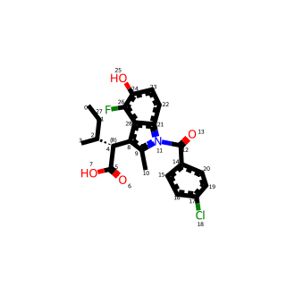 CCC(C)[C@@H](C(=O)O)c1c(C)n(C(=O)c2ccc(Cl)cc2)c2ccc(O)c(F)c12